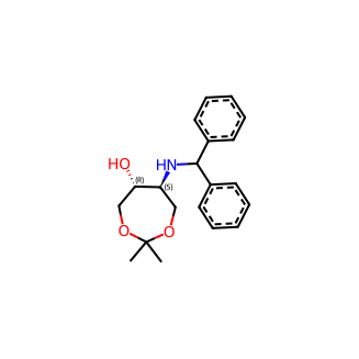 CC1(C)OC[C@H](NC(c2ccccc2)c2ccccc2)[C@@H](O)CO1